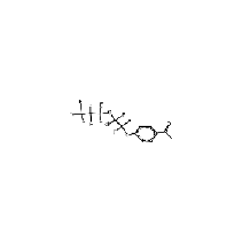 CC(=O)c1ccc(OC(F)(F)C(F)(Cl)OC(F)(F)C(F)(F)C(F)(F)F)cc1